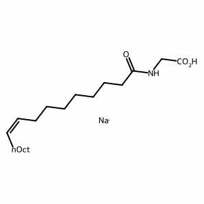 CCCCCCCC/C=C\CCCCCCCC(=O)NCC(=O)O.[Na]